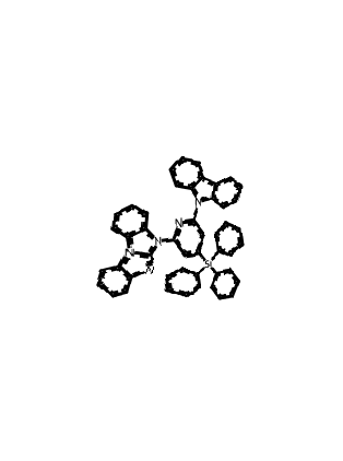 c1ccc([Si](c2ccccc2)(c2ccccc2)c2cc(-n3c4ccccc4c4ccccc43)nc(-n3c4ccccc4n4c5ccccc5nc34)c2)cc1